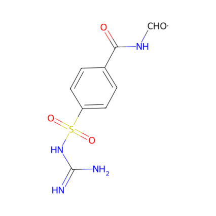 N=C(N)NS(=O)(=O)c1ccc(C(=O)N[C]=O)cc1